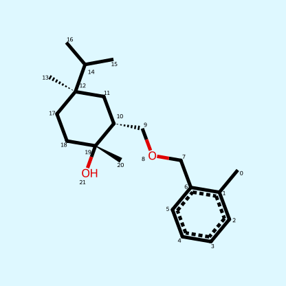 Cc1ccccc1COC[C@H]1C[C@](C)(C(C)C)CC[C@@]1(C)O